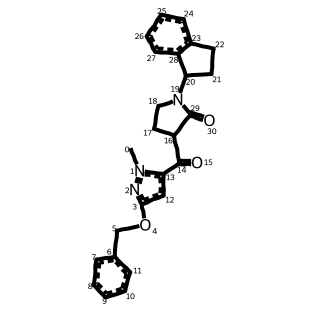 Cn1nc(OCc2ccccc2)cc1C(=O)C1CCN(C2CCc3ccccc32)C1=O